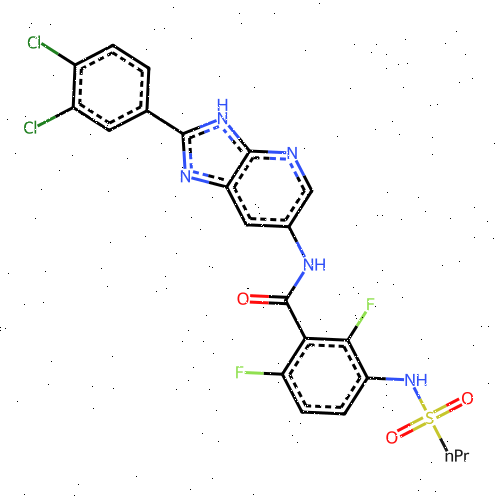 CCCS(=O)(=O)Nc1ccc(F)c(C(=O)Nc2cnc3[nH]c(-c4ccc(Cl)c(Cl)c4)nc3c2)c1F